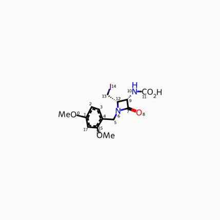 COc1ccc(CN2C(=O)[C@@H](NC(=O)O)[C@H]2CI)c(OC)c1